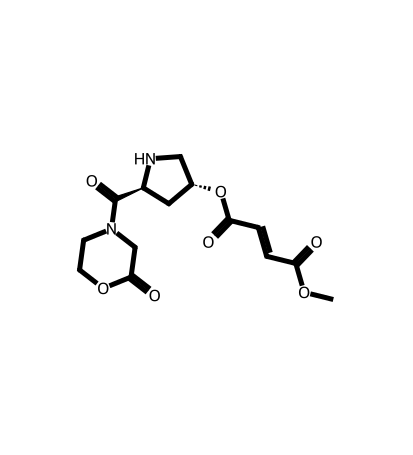 COC(=O)/C=C/C(=O)O[C@H]1CN[C@H](C(=O)N2CCOC(=O)C2)C1